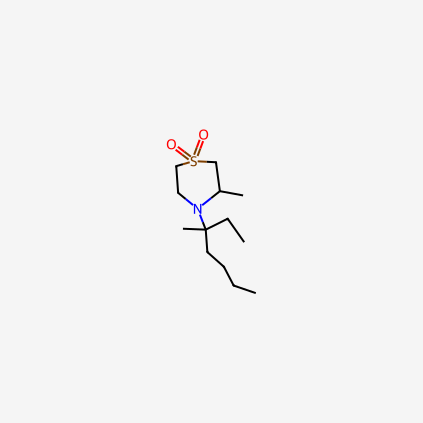 CCCCC(C)(CC)N1CCS(=O)(=O)CC1C